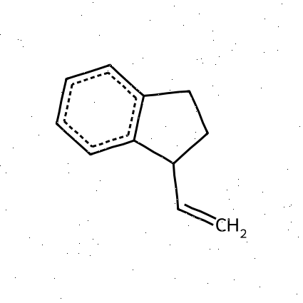 C=CC1CCc2ccccc21